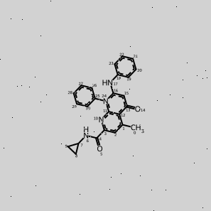 Cc1cc(C(=O)NC2CC2)nc2c1c(=O)cc(Nc1ccccc1)n2-c1ccccc1